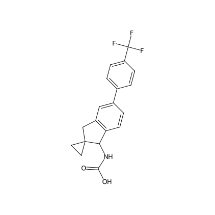 O=C(O)NC1c2ccc(-c3ccc(C(F)(F)F)cc3)cc2CC12CC2